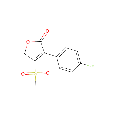 CS(=O)(=O)C1=C(c2ccc(F)cc2)C(=O)OC1